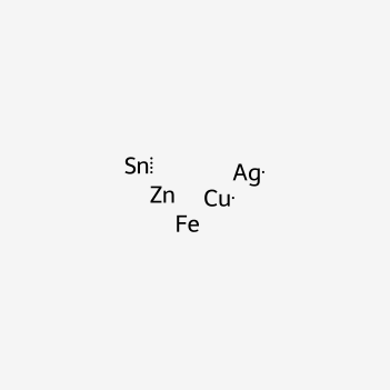 [Ag].[Cu].[Fe].[Sn].[Zn]